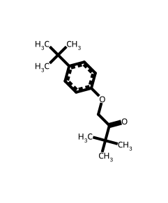 CC(C)(C)C(=O)COc1ccc(C(C)(C)C)cc1